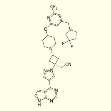 N#CC[C@]1(n2cc(-c3ncnc4[nH]ccc34)cn2)C[C@H](N2CCC(Oc3cc(CN4CCC(F)(F)C4)cc(C(F)(F)F)n3)CC2)C1